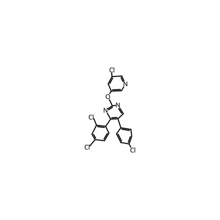 Clc1ccc(-c2cnc(Oc3cncc(Cl)c3)nc2-c2ccc(Cl)cc2Cl)cc1